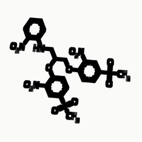 O=[N+]([O-])c1ccccc1NCC(COc1ccc(S(=O)(=O)C(F)(F)F)cc1[N+](=O)[O-])Oc1ccc(S(=O)(=O)C(F)(F)F)cc1[N+](=O)[O-]